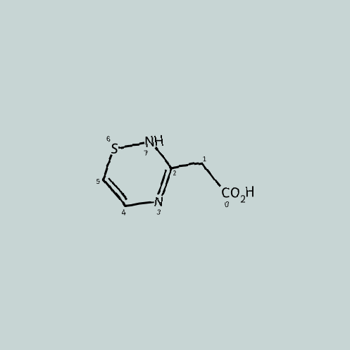 O=C(O)CC1=NC=CSN1